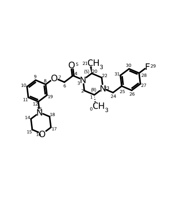 C[C@@H]1CN(C(=O)COc2cccc(N3CCOCC3)c2)[C@@H](C)CN1Cc1ccc(F)cc1